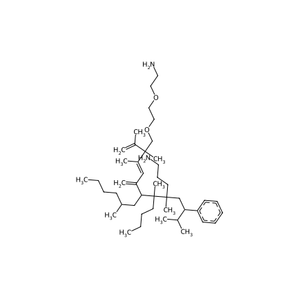 C=C(/C=C(\C)C(C)(COCCOCCN)C(=C)C)C(CC(C)CCCC)C(C)(CCCC)C(C)(CCCN)CC(c1ccccc1)C(C)C